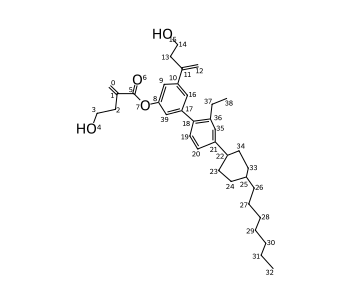 C=C(CCO)C(=O)Oc1cc(C(=C)CCO)cc(-c2ccc(C3CCC(CCCCCCC)CC3)cc2CC)c1